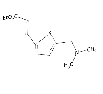 CCOC(=O)C=Cc1ccc(CN(C)C)s1